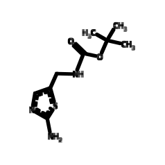 CC(C)(C)OC(=O)NCc1cnc(N)s1